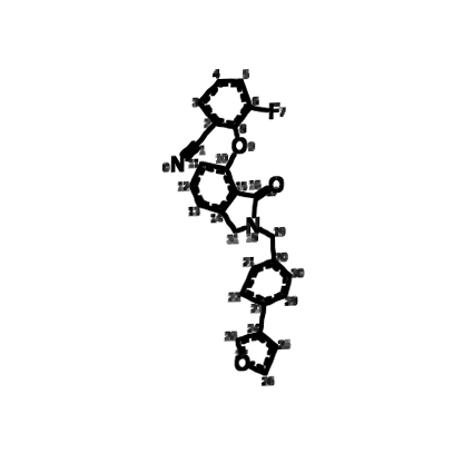 N#Cc1cccc(F)c1Oc1cccc2c1C(=O)N(Cc1ccc(-c3ccoc3)cc1)C2